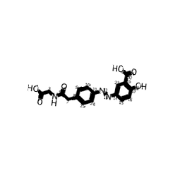 O=C(O)CNC(=O)Cc1ccc(/N=N/c2ccc(O)c(C(=O)O)c2)cc1